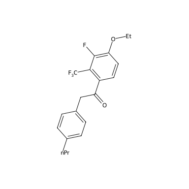 CCCc1ccc(CC(=O)c2ccc(OCC)c(F)c2C(F)(F)F)cc1